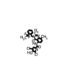 Cc1ccc(NC(=O)c2cc(Cl)c(O)c(Cl)n2)c2c(=O)n(Cc3ccccc3C(C)(F)F)c(C)nc12